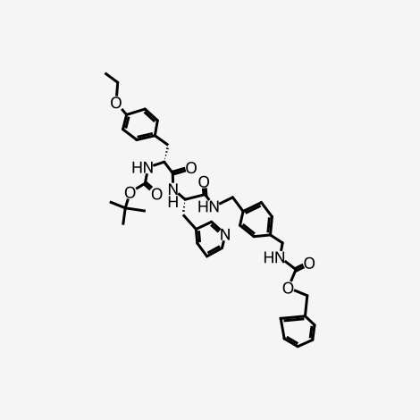 CCOc1ccc(C[C@@H](NC(=O)OC(C)(C)C)C(=O)N[C@@H](Cc2cccnc2)C(=O)NCc2ccc(CNC(=O)OCc3ccccc3)cc2)cc1